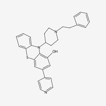 Oc1cc(-c2ccncc2)cc2c1N(C1CCN(CCc3ccccc3)CC1)c1ccccc1S2